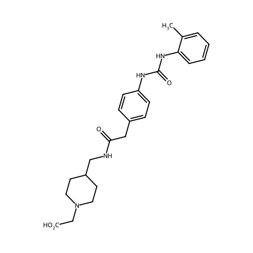 Cc1ccccc1NC(=O)Nc1ccc(CC(=O)NCC2CCN(CC(=O)O)CC2)cc1